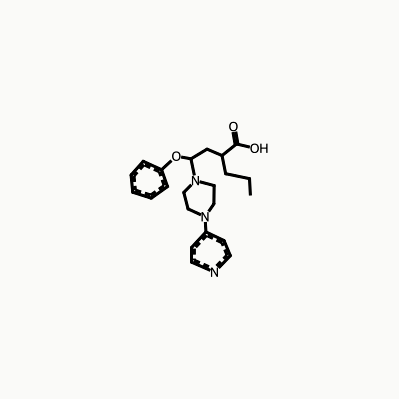 CCCC(CC(Oc1ccccc1)N1CCN(c2ccncc2)CC1)C(=O)O